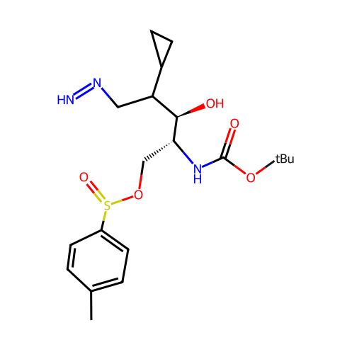 Cc1ccc(S(=O)OC[C@@H](NC(=O)OC(C)(C)C)[C@H](O)C(CN=N)C2CC2)cc1